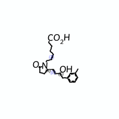 Cc1cccc(C[C@H](O)/C=C/[C@H]2CCC(=O)N2C/C=C\CCCC(=O)O)c1